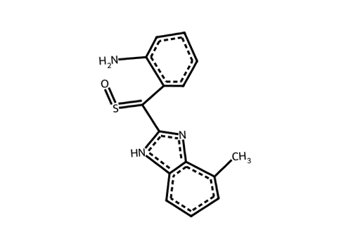 Cc1cccc2[nH]c(C(=S=O)c3ccccc3N)nc12